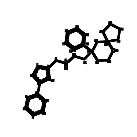 c1ccc(-c2ccc(CNCC[C@@]3(c4ccccn4)CCOC4(CCCC4)C3)s2)cc1